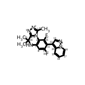 Cc1nnc2n1-c1c(cc(F)c(-c3cnn4ccccc34)c1F)NC2(C)C